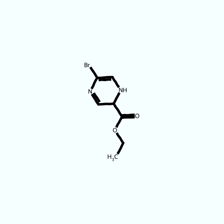 CCOC(=O)C1C=NC(Br)=CN1